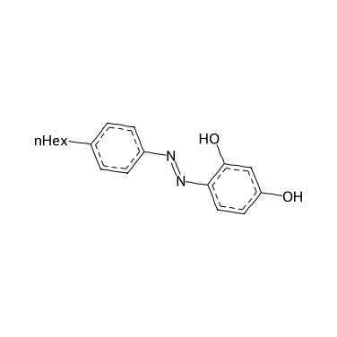 CCCCCCc1ccc(N=Nc2ccc(O)cc2O)cc1